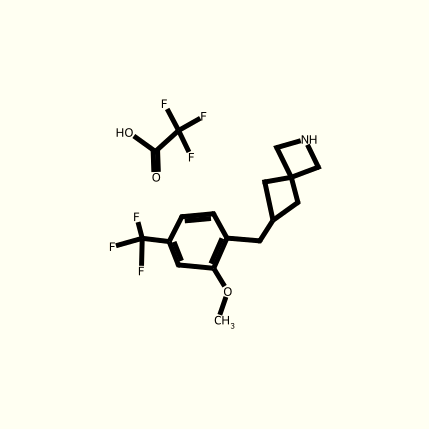 COc1cc(C(F)(F)F)ccc1CC1CC2(CNC2)C1.O=C(O)C(F)(F)F